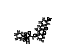 Cc1cc(OCC(=O)NS(=O)(=O)c2ccccc2)c2c(C)c(Cc3ccc(Br)cc3)c(=O)oc2c1